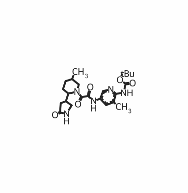 Cc1cc(NC(=O)C(=O)N2CC(C)CCC2C2CNC(=O)C2)cnc1NC(=O)OC(C)(C)C